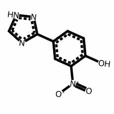 O=[N+]([O-])c1cc(-c2nc[nH]n2)ccc1O